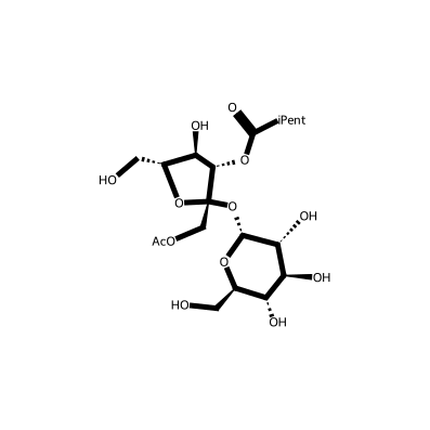 CCCC(C)C(=O)O[C@H]1[C@H](O)[C@@H](CO)O[C@@]1(COC(C)=O)O[C@H]1O[C@H](CO)[C@@H](O)[C@H](O)[C@H]1O